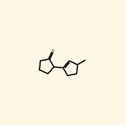 CC1C=C(C2CCCC2=O)CC1